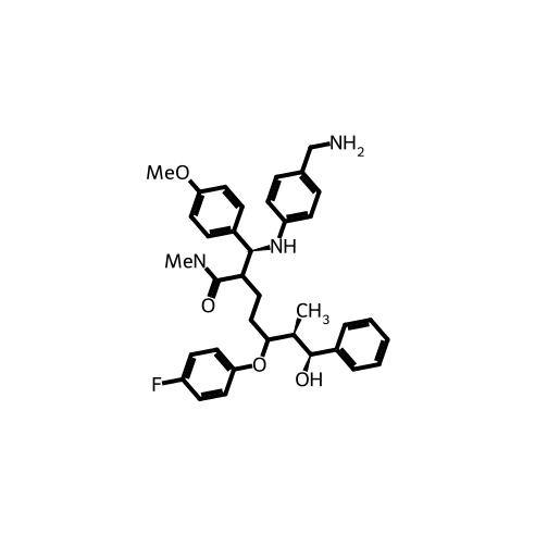 CNC(=O)C(CCC(Oc1ccc(F)cc1)[C@@H](C)[C@H](O)c1ccccc1)[C@H](Nc1ccc(CN)cc1)c1ccc(OC)cc1